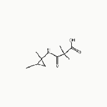 CC1CC1(C)NC(=O)C(C)(C)C(=O)O